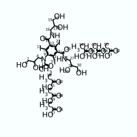 CC(=O)N(CC(O)CO)c1c(I)c(C(=O)NCC(O)CO)c(I)c(C(=O)NCC(O)CO)c1I.CC(=O)O.CC(=O)O.CC(=O)O.CC(=O)O.CC(=O)O.CC(=O)O